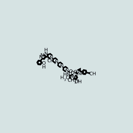 C#Cc1ccc(C2(NC(=O)[C@@H]3C[C@@H](O)CN3C(=O)[C@@H](NC(=O)N3CCC(N4CCC(N5CCC(N6CCc7[nH]c8nnc(-c9ccccc9O)cc8c7[C@H]6C)CC5)CC4)CC3)C(C)(C)C)CC2)cc1